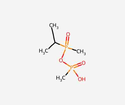 CC(C)P(C)(=O)OP(C)(=O)O